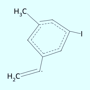 C=[C]c1cc(C)cc(I)c1